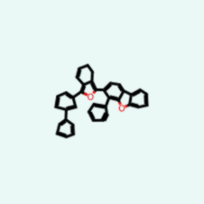 c1cccc(-c2c(-c3oc(-c4cccc(-c5ccccc5)c4)c4c3CCC=C4)ccc3c2oc2ccccc23)c#1